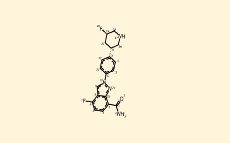 NC(=O)c1ccc(F)c2cn(-c3ccc([C@H]4CNC[C@H](F)C4)cc3)nc12